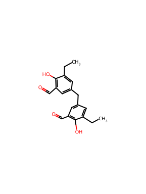 CCc1cc(Cc2cc(C=O)c(O)c(CC)c2)cc(C=O)c1O